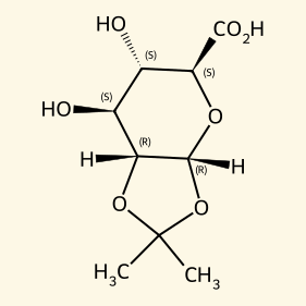 CC1(C)O[C@H]2O[C@H](C(=O)O)[C@@H](O)[C@H](O)[C@H]2O1